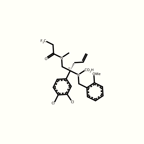 C=CC[C@@](CN(C)C(=O)CC(F)(F)F)(c1ccc(Cl)c(Cl)c1)N(Cc1ccccc1OC)C(=O)O